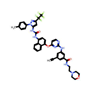 C#Cc1cc(Nc2nccc(Oc3ccc(NC(=O)Nc4cc(C(F)(F)C(F)(F)F)nn4-c4ccc(C)cc4)c4ccccc34)n2)cc(C(=O)NCCN2CCOCC2)c1